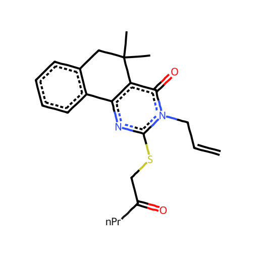 C=CCn1c(SCC(=O)CCC)nc2c(c1=O)C(C)(C)Cc1ccccc1-2